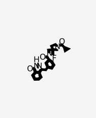 O=C(c1cc(Cc2n[nH]c(=O)c3ccccc23)ccc1F)N1CC2(CCN(C(=O)C3CC3)C2)C1